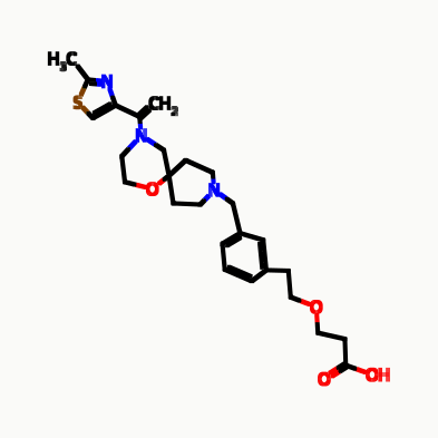 C=C(c1csc(C)n1)N1CCOC2(CCN(Cc3cccc(CCOCCC(=O)O)c3)CC2)C1